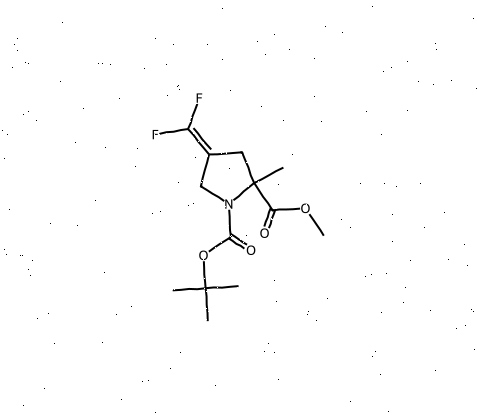 COC(=O)C1(C)CC(=C(F)F)CN1C(=O)OC(C)(C)C